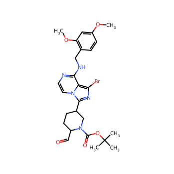 COc1ccc(CNc2nccn3c(C4CCC(C=O)N(C(=O)OC(C)(C)C)C4)nc(Br)c23)c(OC)c1